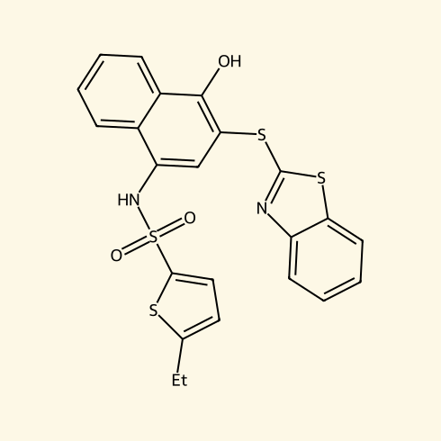 CCc1ccc(S(=O)(=O)Nc2cc(Sc3nc4ccccc4s3)c(O)c3ccccc23)s1